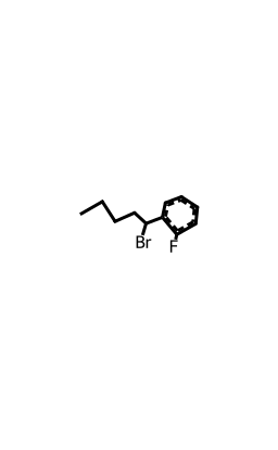 CCCCC(Br)c1ccccc1F